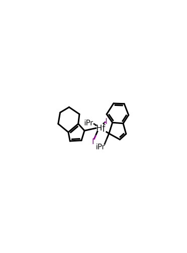 CC(C)[C]1([Hf]([I])([I])([CH](C)C)[CH]2C=CC3=C2CCCC3)C=Cc2ccccc21